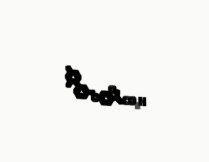 Cc1ccc(-c2cccc(COc3ccc4c(c3)OCC4CC(=O)O)c2)c(C)c1